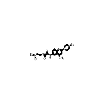 CCN(CC)CCNC(=O)C(=O)Nc1ccc2nc(N3CCN(CC)CC3)cc(C)c2c1